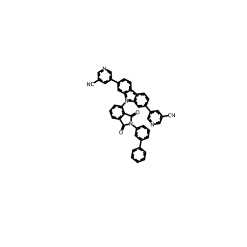 N#Cc1cncc(-c2ccc3c4ccc(-c5cncc(C#N)c5)cc4n(-c4cccc5c4C(=O)N(c4cccc(-c6ccccc6)c4)C5=O)c3c2)c1